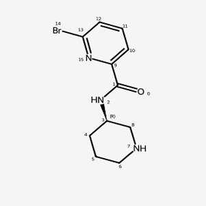 O=C(N[C@@H]1CCCNC1)c1cccc(Br)n1